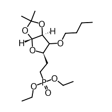 CCCCOC1[C@@H](CCP(=O)(OCC)OCC)O[C@@H]2OC(C)(C)O[C@@H]12